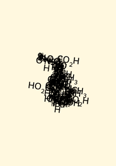 CC[C@H](C)[C@H](NC(=O)[C@H](CO)NC(=O)[C@H](Cc1ccc(O)cc1)NC(=O)[C@H](CC(=O)O)NC(=O)[C@H](CO)NC(=O)[C@@H](NC(=O)[C@H](Cc1ccccc1)NC(=O)[C@@H](NC(=O)CNC(=O)[C@H](CCC(=O)O)NC(=O)CSCC(=O)NCCN1CCSC1=O)[C@@H](C)O)[C@@H](C)O)C(=O)N[C@@H](Cc1ccc(O)cc1)C(=O)N[C@@H](CC(C)C)C(=O)N[C@@H](CC(=O)O)C(=O)N[C@H](C)CCCCN